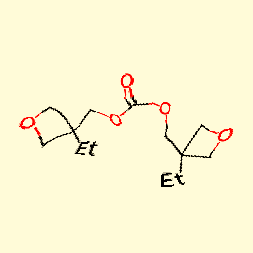 CCC1(COC(=O)OCC2(CC)COC2)COC1